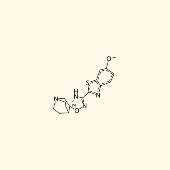 COc1ccc2nc(C3=NO[C@@]4(CN5CCC4CC5)N3)sc2c1